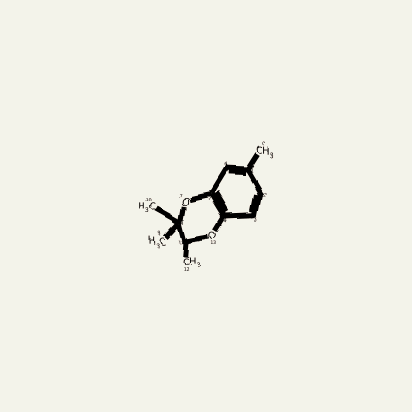 Cc1ccc2c(c1)OC(C)(C)C(C)O2